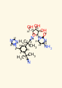 CC(C)(C#N)c1cc(Cn2cncn2)cc(C(C)(C)C#N)c1.Nc1ccn([C@@H]2O[C@H](CO)[C@@H](O)[C@@H]2O)c(=O)n1